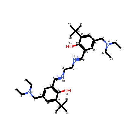 CCN(CC)Cc1cc(/C=N/CC/N=C/c2cc(CN(CC)CC)cc(C(C)(C)C)c2O)c(O)c(C(C)(C)C)c1